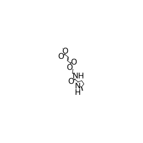 C=C1CCC(C(=O)NCCOC(=O)/C=C/C(=O)OC)N1